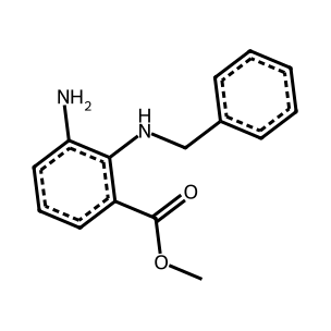 COC(=O)c1cccc(N)c1NCc1ccccc1